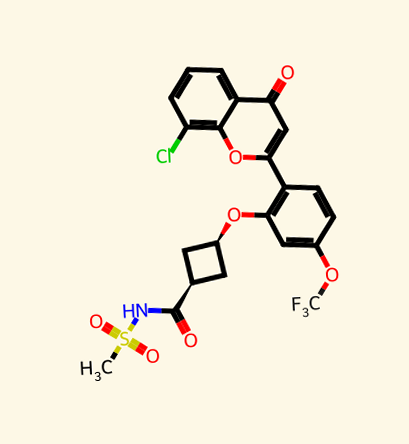 CS(=O)(=O)NC(=O)[C@H]1C[C@@H](Oc2cc(OC(F)(F)F)ccc2-c2cc(=O)c3cccc(Cl)c3o2)C1